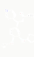 COc1ccc(C(=CC(C)=O)c2ccncc2)cc1OC1CCCC1